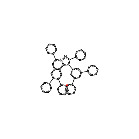 c1ccc(-c2cc(-c3ccccc3)cc(-c3c(-c4ccccc4)nn4c(-c5ccccc5)cc5cc(-c6ccccc6)c(-c6ccccc6)cc5c34)c2)cc1